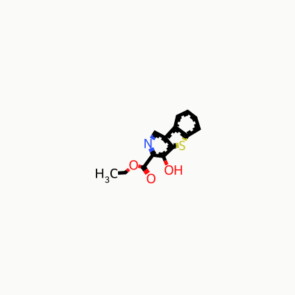 CCOC(=O)c1ncc2c(sc3ccccc32)c1O